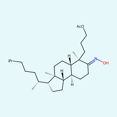 CC(=O)OCCC[C@@]1(C)/C(=N/O)CC[C@H]2[C@@H]3CC[C@H]([C@H](C)CCCC(C)C)[C@@]3(C)CC[C@@H]21